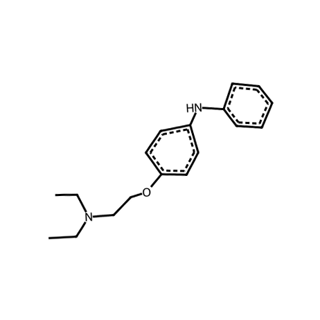 CCN(CC)CCOc1ccc(Nc2ccccc2)cc1